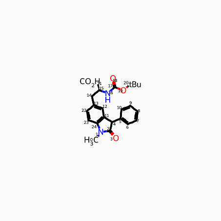 CN1C(=O)C(c2ccccc2)c2cc(C[C@H](NC(=O)OC(C)(C)C)C(=O)O)ccc21